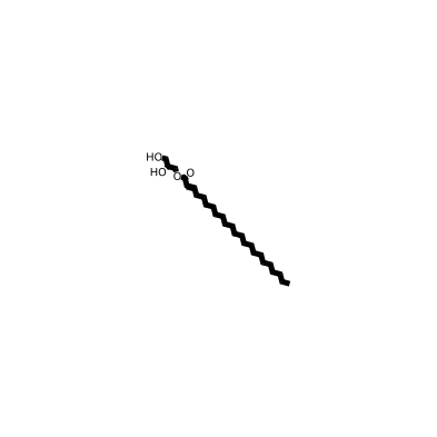 CCCCCCCCCCCCCCCCCCCCC=CC(=O)OCC(O)CO